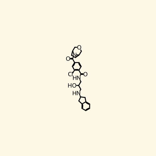 O=C(NCC(O)CNC1Cc2ccccc2C1)c1ccc(C(=O)N2C3CCC2COC3)cc1Cl